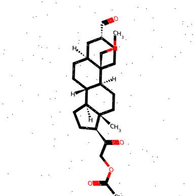 COC[C@]12CC[C@@H](C=O)C[C@@H]1CC[C@H]1[C@@H]3CC[C@H](C(=O)COC(C)=O)[C@@]3(C)CC[C@@H]12